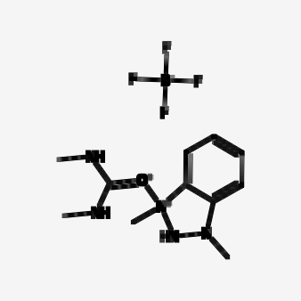 CNC(NC)=[O+][N+]1(C)NN(C)c2ccccc21.F[B-](F)(F)F